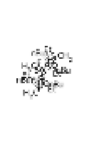 C=Cc1cc2c(OCC(CC)CCCC)c3sc(-c4sc(-c5cc6c(OCC(CC)CCCC)c7sc(C=C)cc7c(OCC(CC)CCCC)c6s5)c5c(F)c(C)sc45)cc3c(OCC(CC)CCCC)c2s1